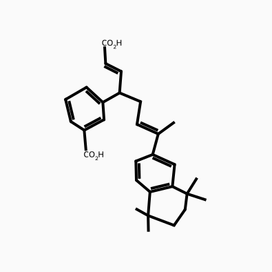 C/C(=C\CC(/C=C/C(=O)O)c1cccc(C(=O)O)c1)c1ccc2c(c1)C(C)(C)CCC2(C)C